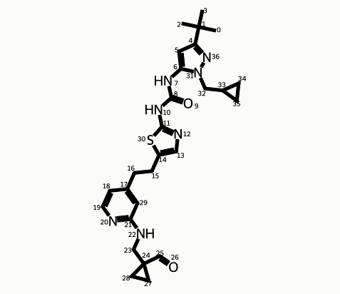 CC(C)(C)c1cc(NC(=O)Nc2ncc(CCc3ccnc(NCC4(C=O)CC4)c3)s2)n(CC2CC2)n1